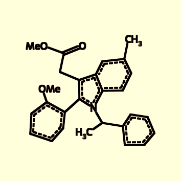 COC(=O)Cc1c(-c2ccccc2OC)n(C(C)c2ccccc2)c2ccc(C)cc12